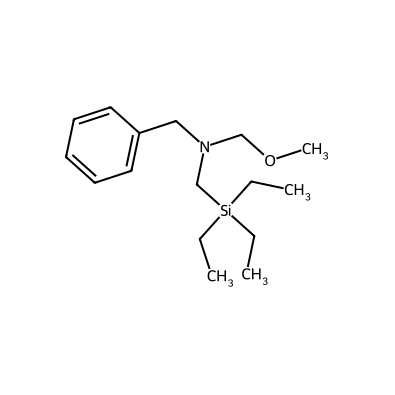 CC[Si](CC)(CC)CN(COC)Cc1ccccc1